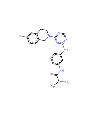 C[C@H](N)C(=O)Nc1cccc(Nc2ncnc(N3CCc4cc(Br)ccc4C3)n2)c1